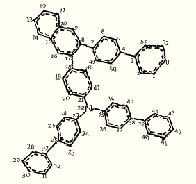 c1ccc(-c2ccc(-c3cc4ccccc4cc3-c3ccc(N(c4ccc(-c5ccccc5)cc4)c4ccc(-c5ccccc5)cc4)cc3)cc2)cc1